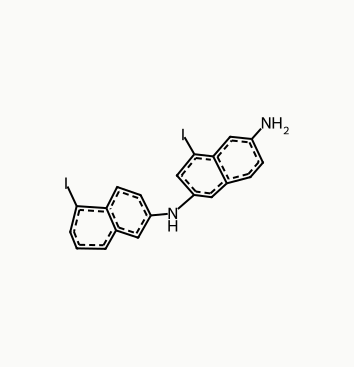 Nc1ccc2cc(Nc3ccc4c(I)cccc4c3)cc(I)c2c1